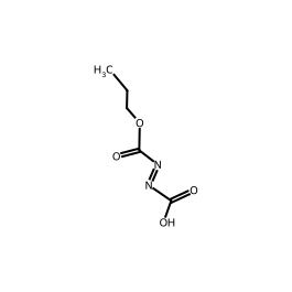 CCCOC(=O)/N=N/C(=O)O